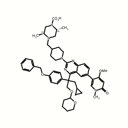 COc1cc(=O)n(C)cc1-c1ccc2nc(N3CCC(CN4C[C@@H](C)N(C(=O)O)C[C@@H]4C)CC3)nc(C(COC3CCCCO3)(CC3CC3)c3ccc(OCc4ccccc4)cc3)c2c1